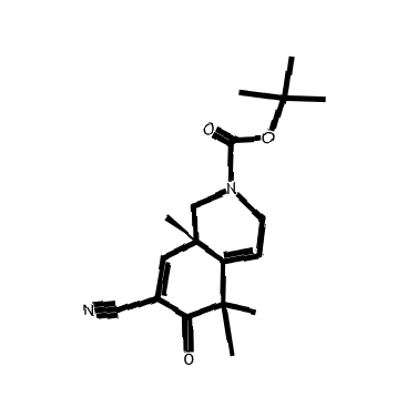 CC(C)(C)OC(=O)N1CC=C2C(C)(C)C(=O)C(C#N)=C[C@]2(C)C1